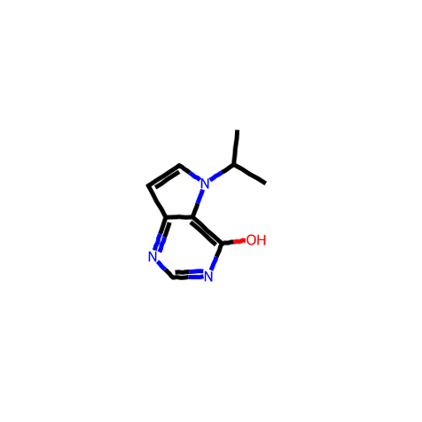 CC(C)n1ccc2ncnc(O)c21